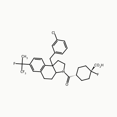 CC(F)(c1ccc2c(c1)CCC1N(C(=O)[C@H]3CC[C@](F)(C(=O)O)CC3)CCC21Cc1cccc(Cl)c1)C(F)(F)F